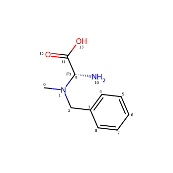 CN(Cc1ccccc1)[C@@H](N)C(=O)O